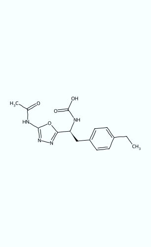 CCc1ccc(C[C@H](NC(=O)O)c2nnc(NC(C)=O)o2)cc1